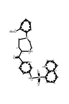 COc1ccccc1N1CCNC(C(=O)c2ccc(NS(=O)(=O)c3cccc4cccnc34)cn2)CC1